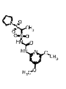 COc1cc(NC(=O)NS(=O)(=O)C(C)S(=O)(=O)N2CCCC2)nc(OC)c1